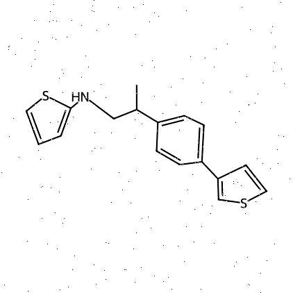 CC(CNc1cccs1)c1ccc(-c2ccsc2)cc1